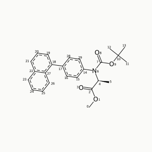 COC(=O)[C@H](C)N(C(=O)OC(C)(C)C)c1ccc(-c2cccc3ccccc23)cc1